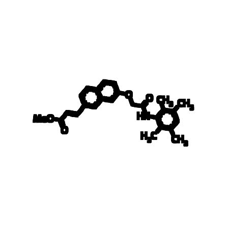 COC(=O)/C=C/c1ccc2ccc(OCC(=O)Nc3c(C)c(C)cc(C)c3C)cc2c1